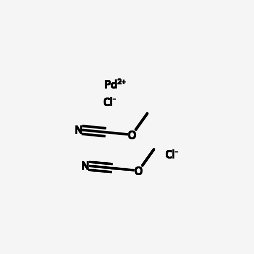 COC#N.COC#N.[Cl-].[Cl-].[Pd+2]